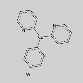 [W].c1cc[c]([Co]([c]2ccccn2)[c]2ccccn2)nc1